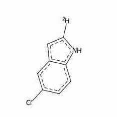 [2H]c1cc2cc(Cl)ccc2[nH]1